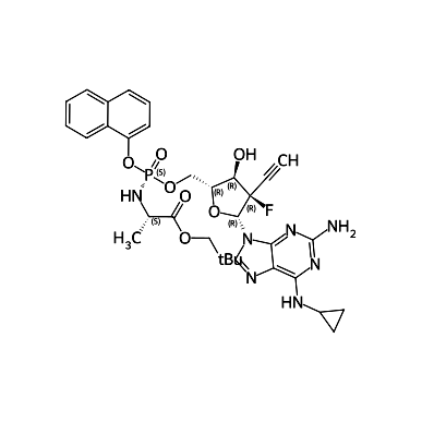 C#C[C@@]1(F)[C@H](O)[C@@H](CO[P@@](=O)(N[C@@H](C)C(=O)OCC(C)(C)C)Oc2cccc3ccccc23)O[C@H]1n1cnc2c(NC3CC3)nc(N)nc21